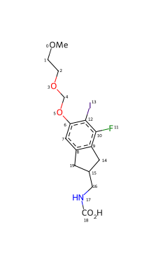 COCCOCOc1cc2c(c(F)c1I)CC(CNC(=O)O)C2